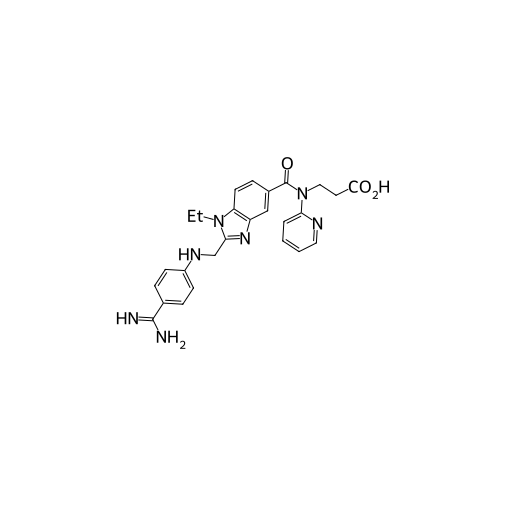 CCn1c(CNc2ccc(C(=N)N)cc2)nc2cc(C(=O)N(CCC(=O)O)c3ccccn3)ccc21